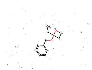 CCC1(OCc2ccccc2)CCO1